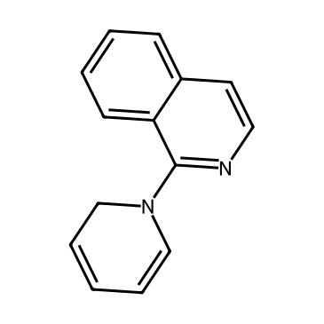 C1=CCN(c2nccc3ccccc23)C=C1